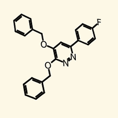 Fc1ccc(-c2cc(OCc3ccccc3)c(OCc3ccccc3)nn2)cc1